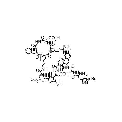 CCCCn1cc(CC(N)C(=O)NCC(=O)NC(Cc2ccccc2)C(=O)NC(CC(C)C)C(=O)NC[C@@H](CC(=O)O)C(=O)N[C@@H](CC(=O)O)C(=O)N[C@@H](CC(=O)O)C(=O)NCCCCC2NC(=O)[C@@H](Cc3ccccc3)NC(=O)CNC(=O)[C@H](CC(=O)O)NC(=O)C(CCCNC(=N)N)NC2=O)nn1